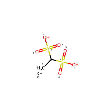 [CH2]C(S(=O)(=O)O)S(=O)(=O)O.[KH]